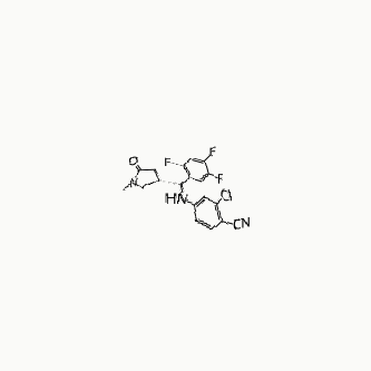 CN1C[C@@H](C(Nc2ccc(C#N)c(Cl)c2)c2cc(F)c(F)cc2F)CC1=O